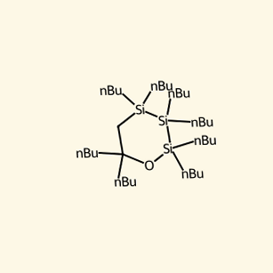 CCCCC1(CCCC)C[Si](CCCC)(CCCC)[Si](CCCC)(CCCC)[Si](CCCC)(CCCC)O1